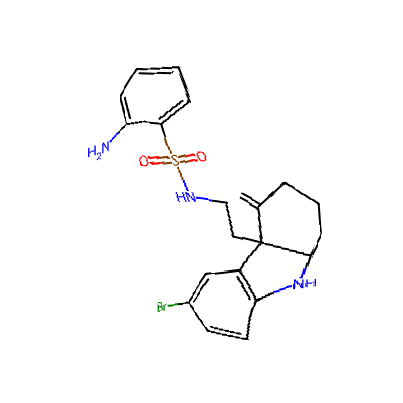 C=C1CCCC2Nc3ccc(Br)cc3C12CCNS(=O)(=O)c1ccccc1N